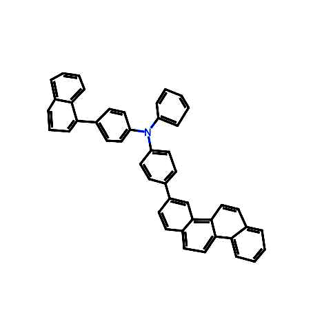 c1ccc(N(c2ccc(-c3ccc4ccc5c6ccccc6ccc5c4c3)cc2)c2ccc(-c3cccc4ccccc34)cc2)cc1